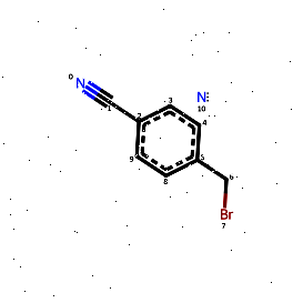 N#Cc1ccc(CBr)cc1.[N]